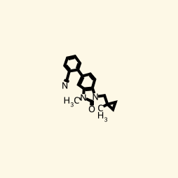 Cn1c(=O)n(CC2(C)CC2)c2ccc(-c3ccccc3C#N)cc21